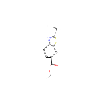 C=C(C)c1nc2ccc(C(=O)OCC)cc2s1